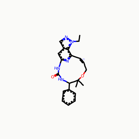 CCn1ncc2cc3nc(c21)/C=C\COC(C)(C)C(c1ccccc1)NC(=O)N3